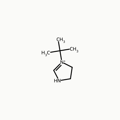 CC(C)(C)[N+]1=CNCC1